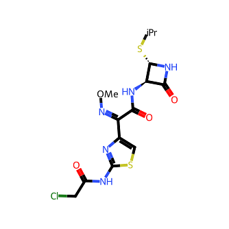 CON=C(C(=O)N[C@@H]1C(=O)N[C@H]1SC(C)C)c1csc(NC(=O)CCl)n1